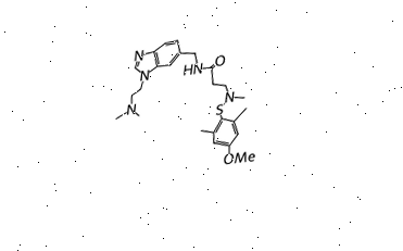 COc1cc(C)c(SN(C)CCC(=O)NCc2ccc3ncn(CCN(C)C)c3c2)c(C)c1